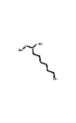 CC(C)(C)ON(C=O)CCCCCCO